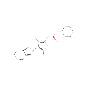 O=C(Cc1sc(F)c(-n2cc3c(c2)CCCC3)c1Cl)OC1CCCCC1